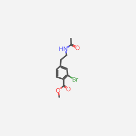 COC(=O)c1ccc(CCNC(C)=O)cc1Br